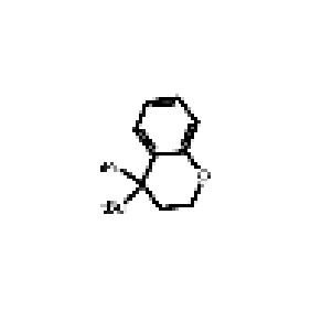 CC(C)C1(C(C)(C)C)CCOc2ccccc21